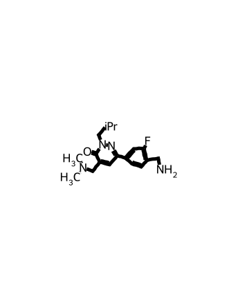 CC(C)Cn1nc(-c2ccc(CN)c(F)c2)cc(CN(C)C)c1=O